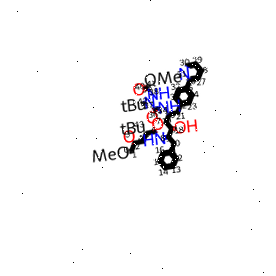 COCC(=O)CC(C(=O)NC(Cc1ccccc1)C(O)CC(Cc1ccc(-c2ccccn2)cc1)NC(=O)N(NC(=O)OC)C(C)(C)C)C(C)(C)C